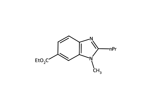 CCCc1nc2ccc(C(=O)OCC)cc2n1C